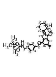 CC(C)(C)OC(=O)NCc1ccc(COc2cc(F)cc3c2CN([C@H]2CCCCNC2=O)C3=O)cc1